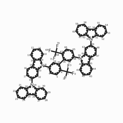 FC(F)(F)c1ccc(-n2c3ccccc3c3ccc(-n4c5ccccc5c5ccccc54)cc32)cc1-c1cc(-n2c3ccccc3c3ccc(-n4c5ccccc5c5ccccc54)cc32)ccc1C(F)(F)F